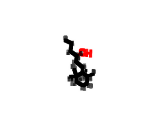 CCC[C@H](O)CC[C@H]1[C@@H](C)CCCC1(C)C